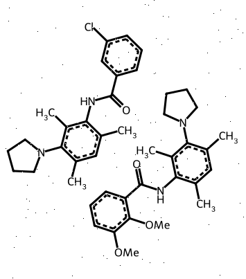 COc1cccc(C(=O)Nc2c(C)cc(C)c(N3CCCC3)c2C)c1OC.Cc1cc(C)c(N2CCCC2)c(C)c1NC(=O)c1cccc(Cl)c1